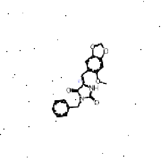 COc1cc2c(cc1/C=C1\NC(=O)N(Cc3ccccc3)C1=O)OCO2